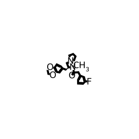 CN(C(=O)Cc1cccc(F)c1)[C@@H](Cc1ccc2c(c1)OCCO2)CN1CCCC1